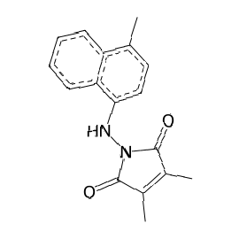 CC1=C(C)C(=O)N(Nc2ccc(C)c3ccccc23)C1=O